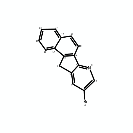 Brc1cnc2c(c1)Cc1c-2ccc2ccccc12